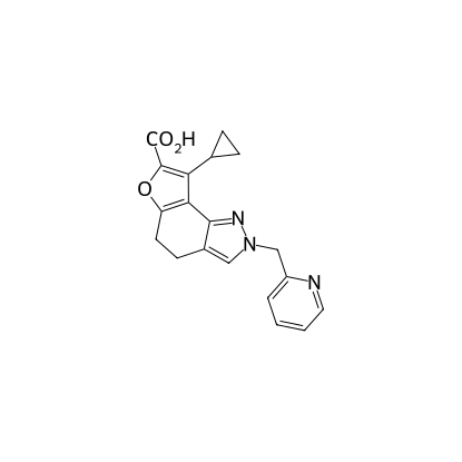 O=C(O)c1oc2c(c1C1CC1)-c1nn(Cc3ccccn3)cc1CC2